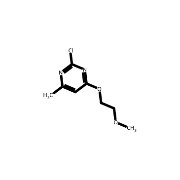 COCCOc1cc(C)nc(Cl)n1